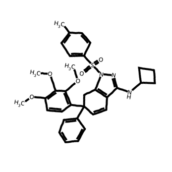 COc1ccc(C2(c3ccccc3)C=Cc3c(NC4CCC4)nn(S(=O)(=O)c4ccc(C)cc4)c3C2)c(OC)c1OC